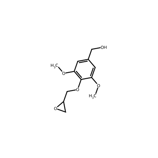 COc1cc(CO)cc(OC)c1OCC1CO1